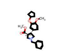 COC(=O)[C@@H]1CN(Cc2ccccc2)C[C@H]1c1ccc(OC)c(OC2CCCC2)c1